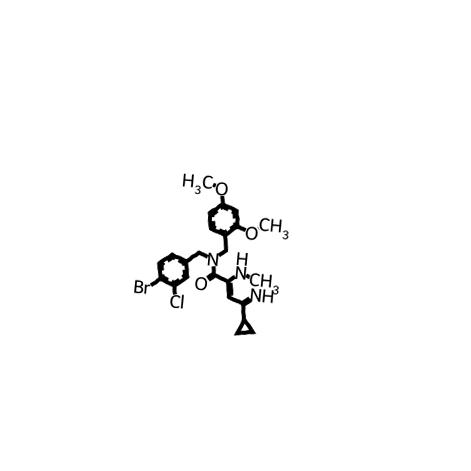 CN/C(=C\C(=N)C1CC1)C(=O)N(Cc1ccc(Br)c(Cl)c1)Cc1ccc(OC)cc1OC